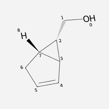 OC[C@@H]1C2C=CC[C@@H]21